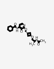 CC(=O)N[C@@H](C)CO[C@H]1C[C@H](COc2nccc(NC(=O)C3CCCCC3)c2Cl)C1